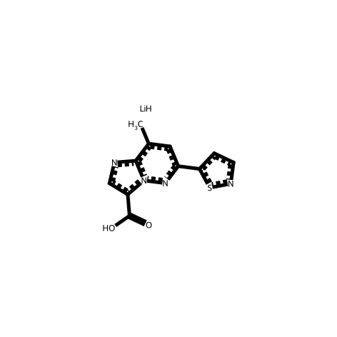 Cc1cc(-c2ccns2)nn2c(C(=O)O)cnc12.[LiH]